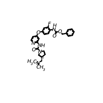 CN(C)C[C@@H]1CCN(C(=O)Nc2cc(Oc3ccc(NC(=O)OCc4ccccc4)c(F)c3)ccn2)C1